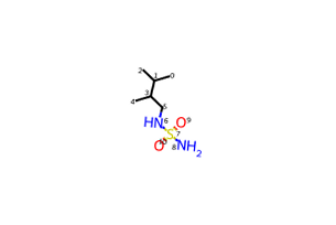 CC(C)C(C)CNS(N)(=O)=O